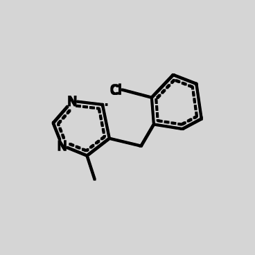 Cc1ncn[c]c1Cc1ccccc1Cl